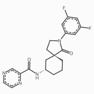 O=C(N[C@H]1CCC[C@]2(CCN(c3cc(F)cc(F)c3)C2=O)C1)c1cnccn1